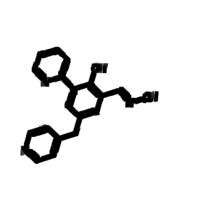 ON=Cc1cc(Cc2ccncc2)cc(-c2ccccn2)c1O